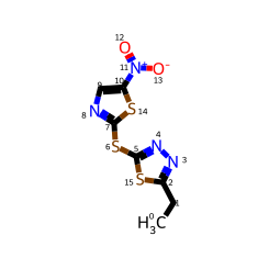 CCc1nnc(Sc2ncc([N+](=O)[O-])s2)s1